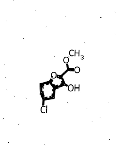 COC(=O)c1oc2ccc(Cl)cc2c1O